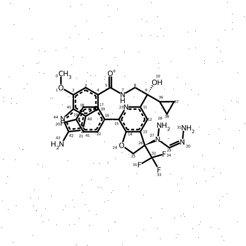 COc1cc(C(=O)NC[C@](O)(c2cc3c(c(-c4ccc(F)cc4)n2)OC[C@@]3(N(N)/C=N\N)C(F)(F)F)C2CC2)cc2sc(N)nc12